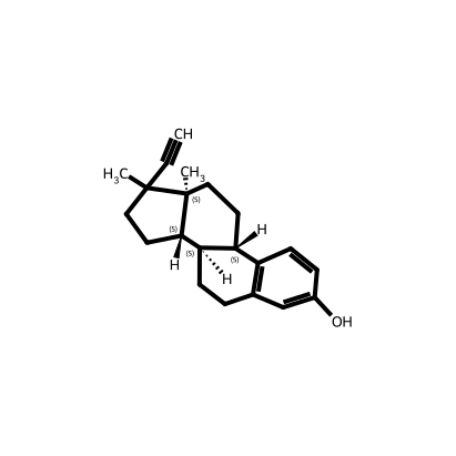 C#CC1(C)CC[C@H]2[C@@H]3CCc4cc(O)ccc4[C@H]3CC[C@@]21C